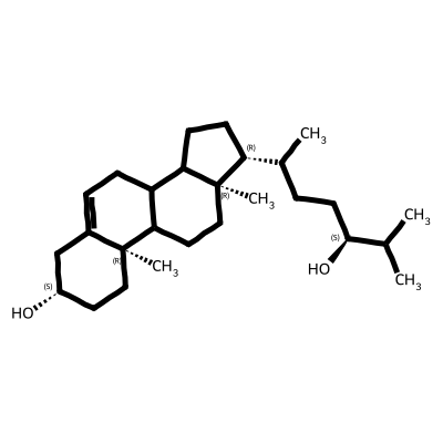 CC(CC[C@H](O)C(C)C)[C@H]1CCC2C3CC=C4C[C@@H](O)CC[C@]4(C)C3CC[C@@]21C